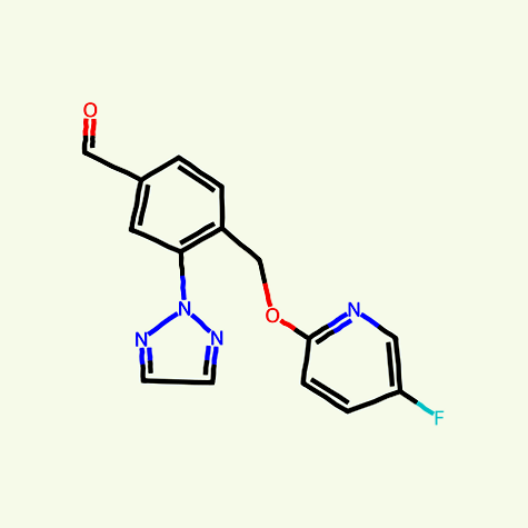 O=Cc1ccc(COc2ccc(F)cn2)c(-n2nccn2)c1